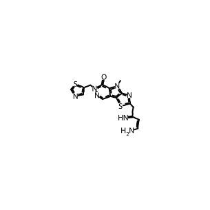 Cn1c2nc(CC(=N)/C=C\N)sc2c2cnn(Cc3cncs3)c(=O)c21